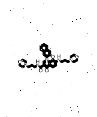 O=C(NCCCN1CCOCC1)c1cn2c3c(c(NCCCN4CCOCC4)ccc3c1=O)Oc1cc3ccccc3cc1-2